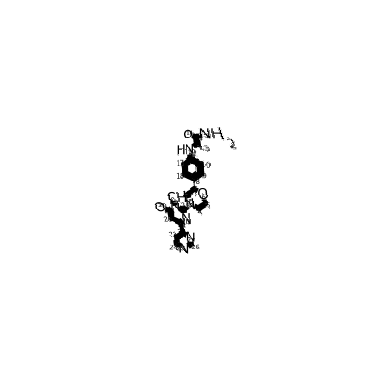 Cn1c(N2CCO[C@@H](c3ccc(NCC(N)=O)cc3)C2)nc(-c2ccncn2)cc1=O